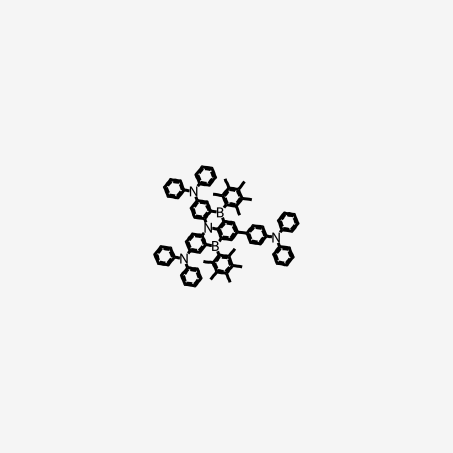 Cc1c(C)c(C)c(B2c3cc(N(c4ccccc4)c4ccccc4)ccc3N3c4ccc(N(c5ccccc5)c5ccccc5)cc4B(c4c(C)c(C)c(C)c(C)c4C)c4cc(-c5ccc(N(c6ccccc6)c6ccccc6)cc5)cc2c43)c(C)c1C